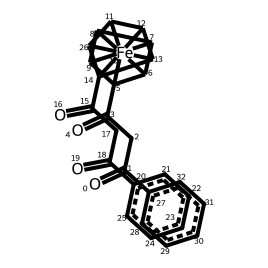 O=C(CC(=O)[C]12[CH]3[CH]4[CH]5[CH]1[Fe]45321678[CH]2[CH]1[CH]6[C]7(C(=O)CC(=O)c1ccccc1)[CH]28)c1ccccc1